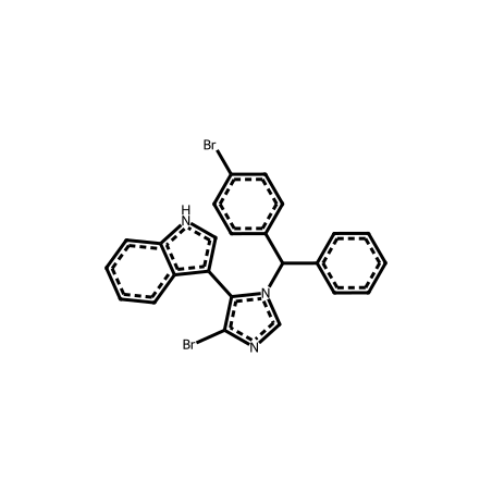 Brc1ccc(C(c2ccccc2)n2cnc(Br)c2-c2c[nH]c3ccccc23)cc1